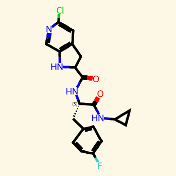 O=C(N[C@@H](Cc1ccc(F)cc1)C(=O)NC1CC1)C1Cc2cc(Cl)ncc2N1